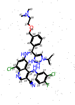 CC(C)N1C=C([C@@H](Nc2cc(Cl)c3ncc(C#N)c(Nc4ccc(F)c(Cl)c4)c3c2)c2cccc(COCCN(C)C)c2)NN1